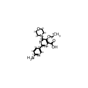 CCOc1c(C(=O)O)nc(-c2ccc(N)nc2)nc1N1CCOCC1